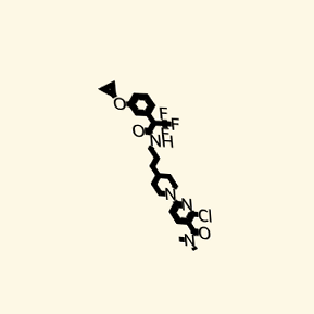 CN(C)C(=O)c1ccc(N2CCC(CCCNC(=O)C(c3cccc(OC4CC4)c3)C(F)(F)F)CC2)nc1Cl